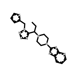 CCC(c1nnnn1Cc1cccs1)N1CCN(c2nc3cccnc3s2)CC1